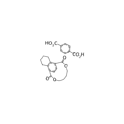 O=C(O)c1ccc(C(=O)O)cc1.O=C1OCCCCOC(=O)c2ccc1c1c2CCCC1